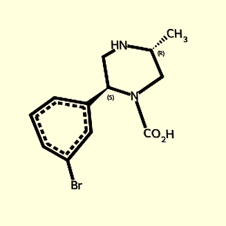 C[C@@H]1CN(C(=O)O)[C@@H](c2cccc(Br)c2)CN1